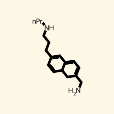 CCCNCCCC1=CC2=CC=C(CN)CC2C=C1